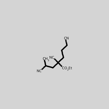 CCOC(=O)C(C#N)(CCCC#N)CC(C)C#N